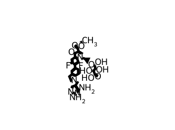 CCOC(=O)c1cn(C2CC2)c2c(F)c(-c3ccc4c(c3)CCN4Cc3cnc(N)nc3N)c(F)cc2c1=O.O=C(O)C(O)C(O)C(=O)O